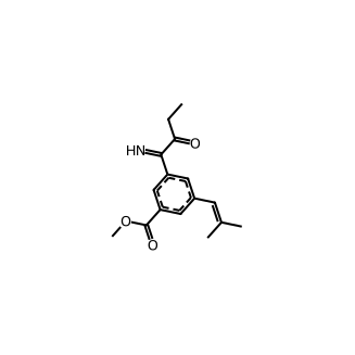 CCC(=O)C(=N)c1cc(C=C(C)C)cc(C(=O)OC)c1